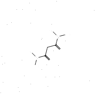 CCCN(CCC)C(=O)CC(=O)N(CCC)CCC